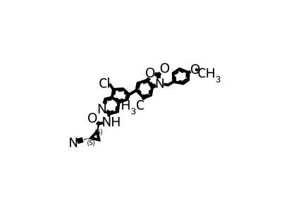 COc1ccc(Cn2c(=O)oc3cc(-c4cc(Cl)c5cnc(NC(=O)[C@H]6C[C@@H]6C#N)cc5c4)c(C)cc32)cc1